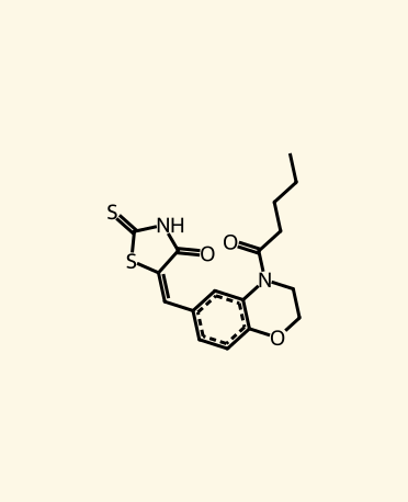 CCCCC(=O)N1CCOc2ccc(C=C3SC(=S)NC3=O)cc21